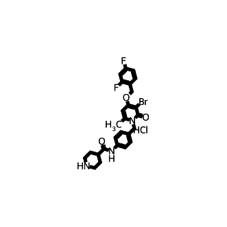 Cc1cc(OCc2ccc(F)cc2F)c(Br)c(=O)n1Cc1ccc(NC(=O)C2CCNCC2)cc1.Cl